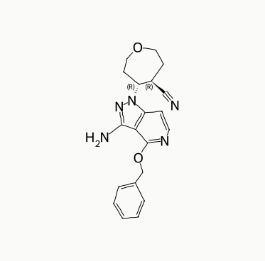 N#C[C@@H]1CCOCC[C@H]1n1nc(N)c2c(OCc3ccccc3)nccc21